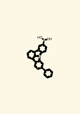 OB(O)c1ccc2c(c1)c1cccc3c4ccc(-c5ccccc5)cc4n2c13